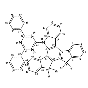 CC1(C)c2ccccc2-c2c1c1c(c3c2c2ccccc2n3-c2nc(-c3ccccc3)nc(-c3ccccc3)n2)-c2ccccc2C1(C)C